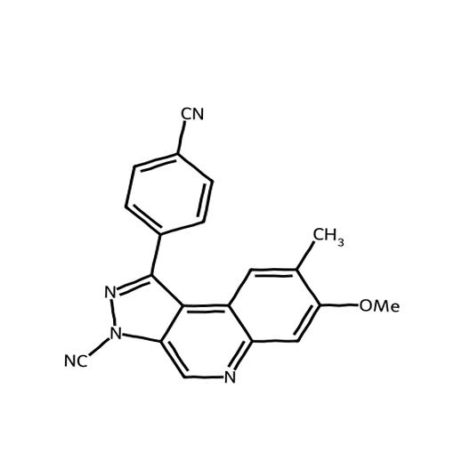 COc1cc2ncc3c(c(-c4ccc(C#N)cc4)nn3C#N)c2cc1C